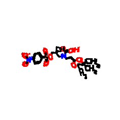 C=C(COS(=O)(=O)c1ccc([N+](=O)[O-])cc1)CN(/C=C/C(=O)OC(C)(C)C)C(=O)O